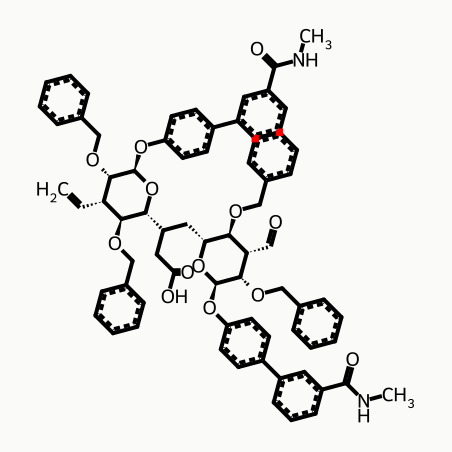 C=C[C@@H]1[C@H](OCc2ccccc2)[C@@H](Oc2ccc(-c3cccc(C(=O)NC)c3)cc2)O[C@H](C(CC(=O)O)C[C@H]2O[C@H](Oc3ccc(-c4cccc(C(=O)NC)c4)cc3)[C@@H](OCc3ccccc3)[C@@H](C=O)[C@@H]2OCc2ccccc2)[C@H]1OCc1ccccc1